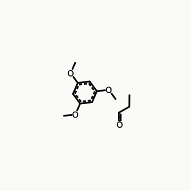 CCC=O.COc1cc(OC)cc(OC)c1